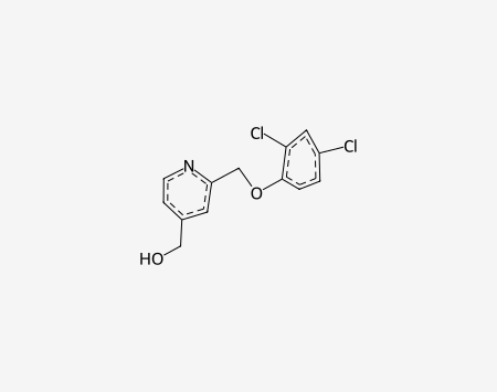 OCc1ccnc(COc2ccc(Cl)cc2Cl)c1